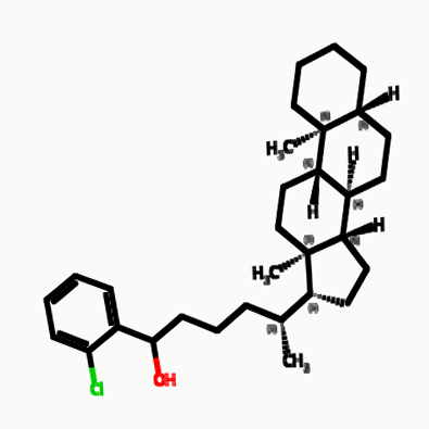 C[C@H](CCCC(O)c1ccccc1Cl)[C@H]1CC[C@H]2[C@@H]3CC[C@H]4CCCC[C@]4(C)[C@H]3CC[C@]12C